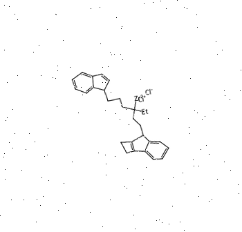 CC[C]([Zr+2])(CCCC1C=Cc2ccccc21)CCC1C2=C(CC2)c2ccccc21.[Cl-].[Cl-]